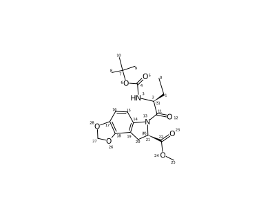 CC[C@H](NC(=O)OC(C)(C)C)C(=O)N1c2ccc3c(c2C[C@@H]1C(=O)OC)OCO3